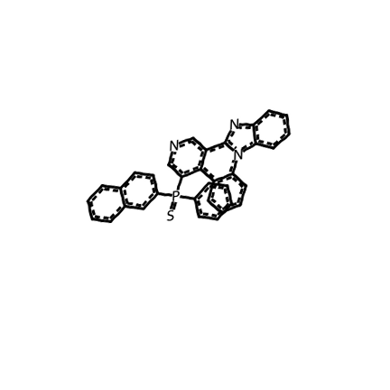 S=P(c1ccccc1)(c1ccc2ccccc2c1)c1cncc2c1c1ccccc1n1c3ccccc3nc21